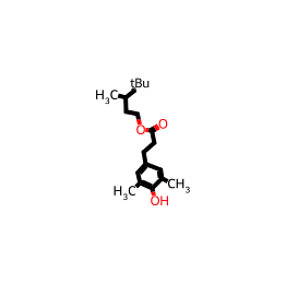 Cc1cc(CCC(=O)OCCC(C)CC(C)(C)C)cc(C)c1O